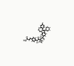 Cc1ccc2c(c1)OCCn1c-2c(C2CCCCC2)c2ccc(C(=O)NC3(C(=O)Nc4ccc(/C=C/C(=O)O)cc4)CCC3)cc21